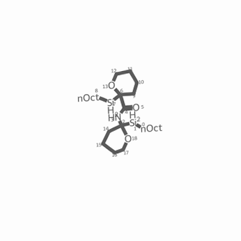 CCCCCCCC[SiH2]C1(NC(=O)C2([SiH2]CCCCCCCC)CCCCO2)CCCCO1